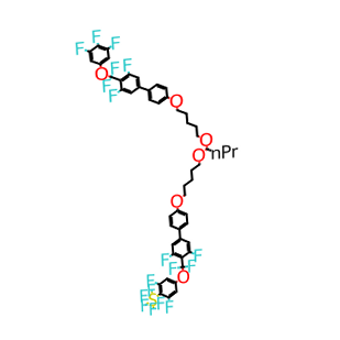 CCCC(OCCCCCOc1ccc(-c2cc(F)c(C(F)(F)Oc3cc(F)c(F)c(F)c3)c(F)c2)cc1)OCCCCCOc1ccc(-c2cc(F)c(C(F)(F)Oc3cc(F)c(S(F)(F)(F)(F)F)c(F)c3)c(F)c2)cc1